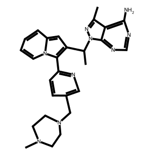 Cc1nn(C(C)c2cc3ccccn3c2-c2ccc(CN3CCN(C)CC3)cn2)c2ncnc(N)c12